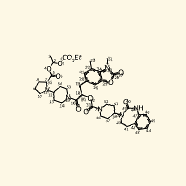 CCOC(=O)OC(C)OC(=O)[C@@H]1CCCN1C1CCN(C(=O)[C@@H](Cc2cc(C)c3c(c2)oc(=O)n3C)OC(=O)N2CCC(N3CCc4ccccc4NC3=O)CC2)CC1